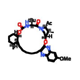 COc1ccc2nc3c(nc2c1)O[C@H]1CN(C(=O)[C@H](C(C)(C)C)NC(=O)O[C@@H]2CCC[C@H](C)[C@H]2CCCCC3)[C@H](C(C)=O)[C@@H]1C